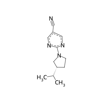 CC(C)[C@H]1CCN(c2ncc(C#N)cn2)C1